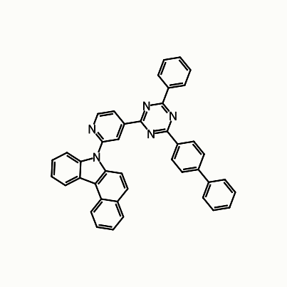 c1ccc(-c2ccc(-c3nc(-c4ccccc4)nc(-c4ccnc(-n5c6ccccc6c6c7ccccc7ccc65)c4)n3)cc2)cc1